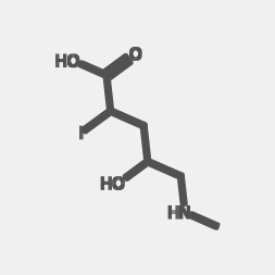 CNCC(O)CC(I)C(=O)O